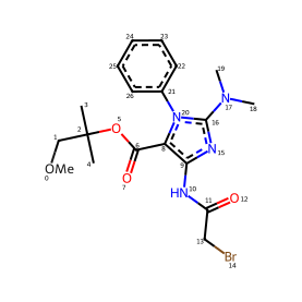 COCC(C)(C)OC(=O)c1c(NC(=O)CBr)nc(N(C)C)n1-c1ccccc1